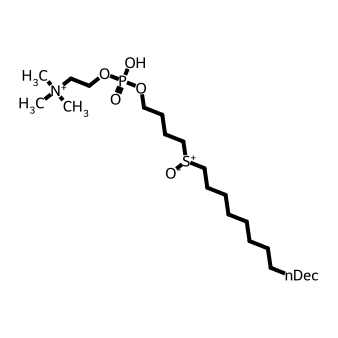 CCCCCCCCCCCCCCCCCC[S+]([O-])CCCCOP(=O)(O)OCC[N+](C)(C)C